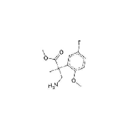 COC(=O)C(C)(CN)c1cc(F)ccc1OC